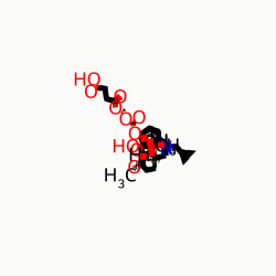 CO[C@]12CC[C@@]3(C[C@@H]1C(C)(O)C(C)(C)C)C1Cc4ccc(OC(=O)OCOC(=O)CCC(=O)O)c5c4[C@@]3(CCN1CC1CC1)[C@H]2O5